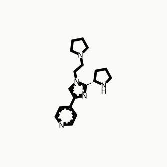 c1cc(-c2cn(CCN3CCCC3)c([C@@H]3CCCN3)n2)ccn1